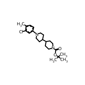 Cc1ccc(N2CCC(C3CCN(C(=O)OC(C)(C)C)CC3)CC2)cc1Cl